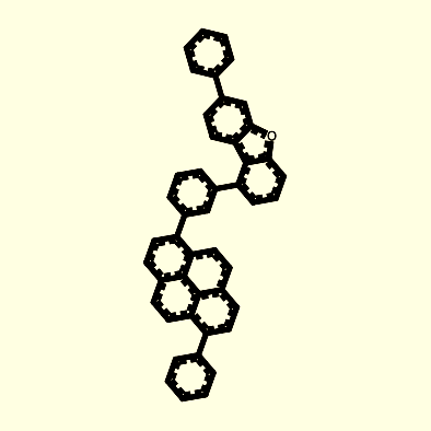 c1ccc(-c2ccc3c(c2)oc2cccc(-c4cccc(-c5ccc6ccc7c(-c8ccccc8)ccc8ccc5c6c87)c4)c23)cc1